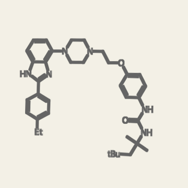 CCc1ccc(-c2nc3c(N4CCN(CCOc5ccc(NC(=O)NC(C)(C)CC(C)(C)C)cc5)CC4)cccc3[nH]2)cc1